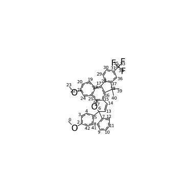 COc1ccc(C2(c3ccccc3)C=Cc3c4c(c5ccc(OC)cc5c3O2)-c2ccc(C(F)(F)F)cc2C4(C)C)cc1